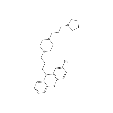 FC(F)(F)c1ccc2c(c1)N(CCCN1CCN(CCCN3CCCC3)CC1)c1ccccc1S2